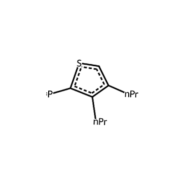 CCCc1csc([P])c1CCC